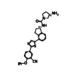 CC(C)Oc1ccc(-c2ncc(-c3cccc4c3CC[C@@H]4NC(=O)N3CC[C@H](N)C3)s2)cc1C#N